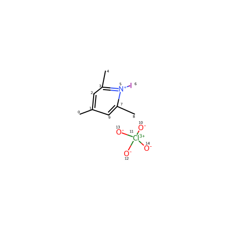 Cc1cc(C)[n+](I)c(C)c1.[O-][Cl+3]([O-])([O-])[O-]